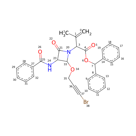 C=C(C)C(C(=O)OC(c1ccccc1)c1ccccc1)N1C(=O)C(NC(=O)c2ccccc2)C1OCC#CBr